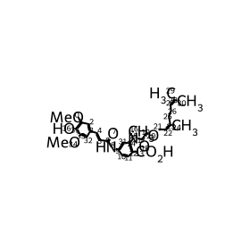 COc1cc(C=CC(=O)Nc2ccc(C(=O)O)c(N(C)C(=O)COCC=C(C)CCC=C(C)C)c2)cc(OC)c1O